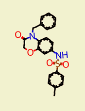 Cc1ccc(S(=O)(=O)Nc2ccc3c(c2)OCC(=O)N3Cc2ccccc2)cc1